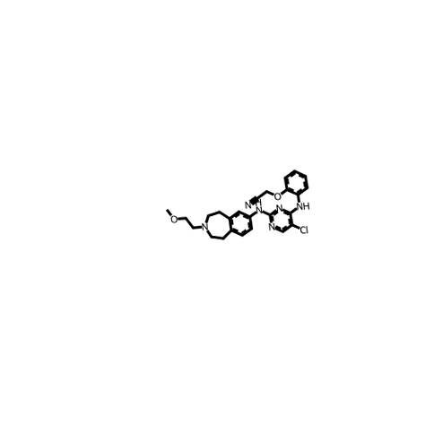 COCCN1CCc2ccc(Nc3ncc(Cl)c(Nc4ccccc4OCC#N)n3)cc2CC1